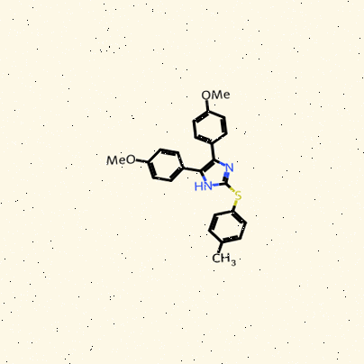 COc1ccc(-c2nc(Sc3ccc(C)cc3)[nH]c2-c2ccc(OC)cc2)cc1